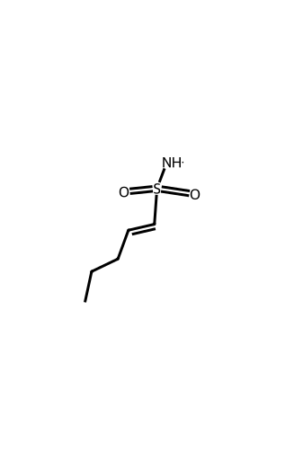 CCCC=CS([NH])(=O)=O